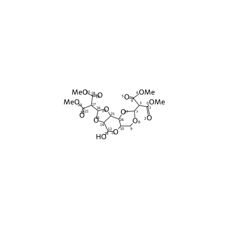 COC(=O)C(C(=O)OC)C1OCC2OC(O)C3OC(C(C(=O)OC)C(=O)OC)OC3C2O1